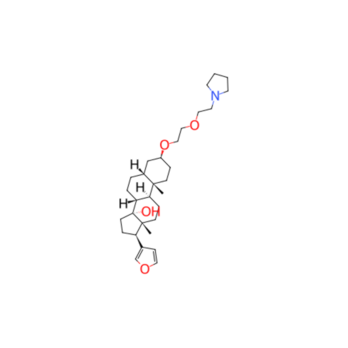 C[C@]12CC[C@H](OCCOCCN3CCCC3)C[C@H]1CC[C@@H]1[C@@H]2CC[C@]2(C)[C@@H](c3ccoc3)CC[C@@]12O